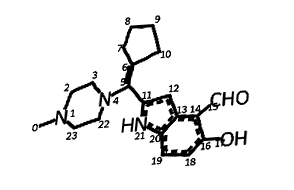 CN1CCN(C(=C2CCCC2)c2cc3c(C=O)c(O)ccc3[nH]2)CC1